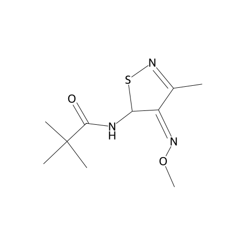 CO/N=C1/C(C)=NSC1NC(=O)C(C)(C)C